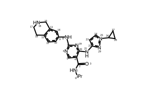 CC(C)NC(=O)c1cnc(Nc2ccc3c(c2)CNCC3)nc1Nc1ccn(C2CC2)n1